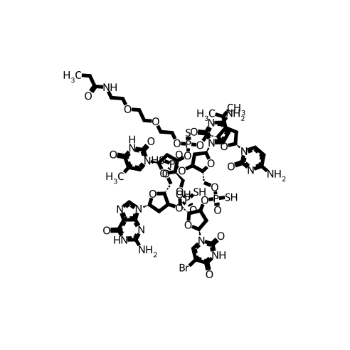 CCC(=O)NCCOCCOCCOP(=S)(OC[C@H]1O[C@@H](n2ccc(N)nc2=O)CC1C(C)C)OC1C[C@H](n2cc(C)c(=O)[nH]c2=O)O[C@@H]1COP(=O)(S)OC1C[C@H](n2cnc3c(=O)[nH]c(N)nc32)O[C@@H]1COP(=O)(S)OC1C[C@H](n2ccc(N)nc2=O)O[C@@H]1COP(=O)(S)OC1C[C@H](n2cc(Br)c(=O)[nH]c2=O)O[C@@H]1CO